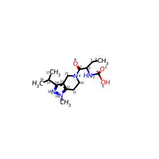 CCC(NC(=O)O)C(=O)N1CCc2c(c(C(C)C)nn2C)C1